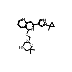 CC1(C)CNC[C@@H](COc2nc(-c3cnn(C4(C)CC4)c3)cc3ncccc23)O1